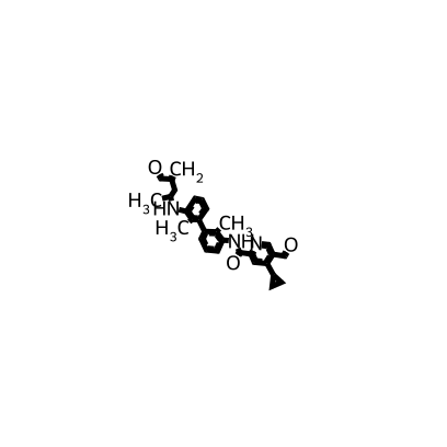 C=C(C=O)CC(C)Nc1cccc(-c2cccc(NC(=O)c3cc(C4CC4)c(C=O)cn3)c2C)c1C